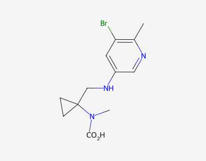 Cc1ncc(NCC2(N(C)C(=O)O)CC2)cc1Br